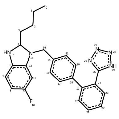 CCCCC1Nc2ccc(F)cc2N1Cc1ccc(-c2ccccc2-c2nnn[nH]2)cc1